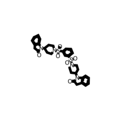 O=C1Cc2ccccc2N1C1CCN(S(=O)(=O)c2cccc(S(=O)(=O)N3CCC(N4C(=O)Cc5ccccc54)CC3)c2)CC1